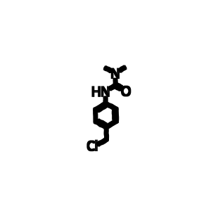 CN(C)C(=O)Nc1ccc(CCl)cc1